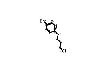 ClCCCSc1ccc(Br)cn1